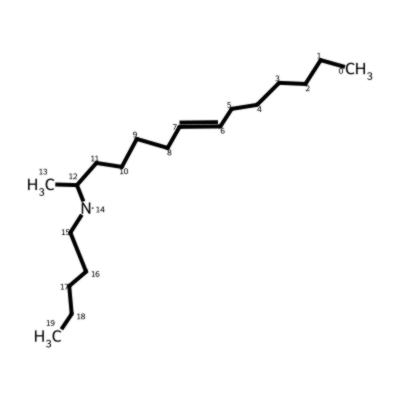 CCCCCC/C=C/CCCCC(C)[N]CCCCC